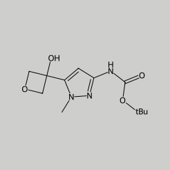 Cn1nc(NC(=O)OC(C)(C)C)cc1C1(O)COC1